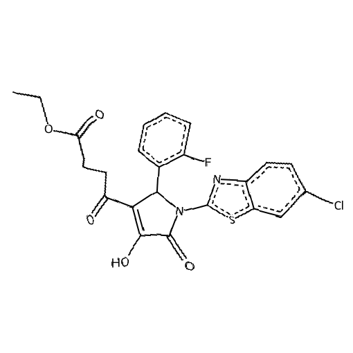 CCOC(=O)CCC(=O)C1=C(O)C(=O)N(c2nc3ccc(Cl)cc3s2)C1c1ccccc1F